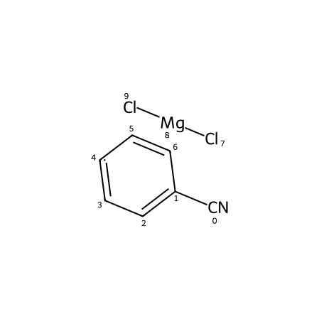 N#Cc1cc[c]cc1.[Cl][Mg][Cl]